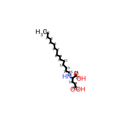 CCCCCCCCCCCCCCCCNC(CCC(=O)O)C(=O)O